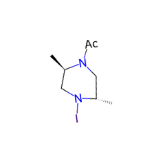 CC(=O)N1C[C@H](C)N(I)C[C@H]1C